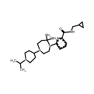 BC1(B)CCN(C2CCN(C(C)C)CC2)CCN1c1cccc(C(=O)NCC2CC2)n1